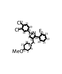 COC1CCN(Cc2cn(-c3ccc(Cl)c(Cl)c3)nc2-c2ccccc2F)CC1